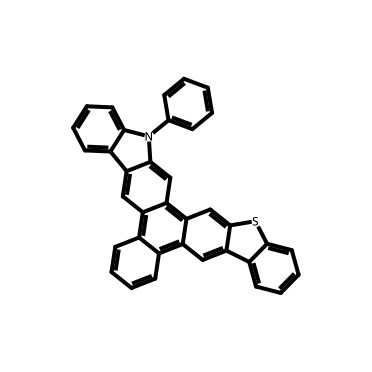 c1ccc(-n2c3ccccc3c3cc4c5ccccc5c5cc6c(cc5c4cc32)sc2ccccc26)cc1